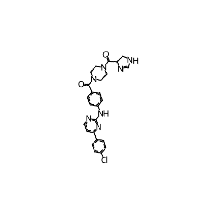 O=C(c1ccc(Nc2nccc(-c3ccc(Cl)cc3)n2)cc1)N1CCN(C(=O)C2CNC=N2)CC1